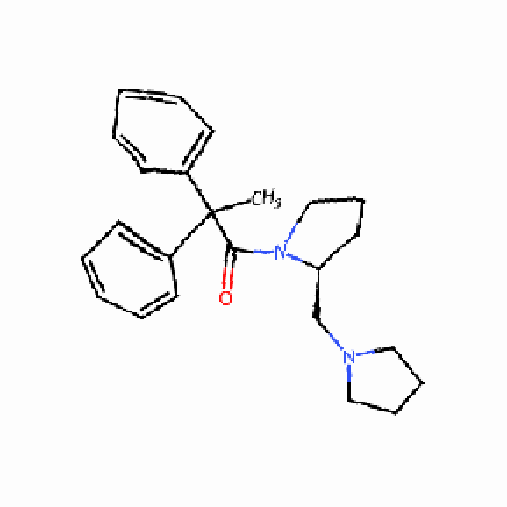 CC(C(=O)N1CCC[C@H]1CN1CCCC1)(c1ccccc1)c1ccccc1